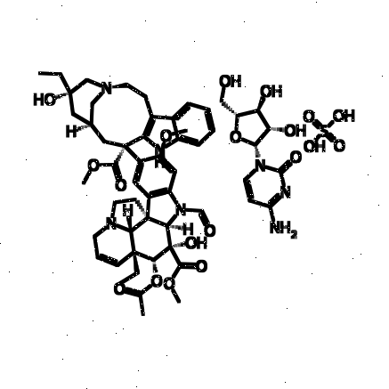 CC[C@]1(O)C[C@H]2C[N@](CCc3c([nH]c4ccccc34)[C@@](C(=O)OC)(c3cc4c(cc3OC)N(C=O)[C@H]3[C@@](O)(C(=O)OC)[C@H](OC(C)=O)[C@]5(CC)C=CCN6CC[C@]43[C@@H]65)C2)C1.Nc1ccn([C@@H]2O[C@H](CO)[C@@H](O)[C@@H]2O)c(=O)n1.O=S(=O)(O)O